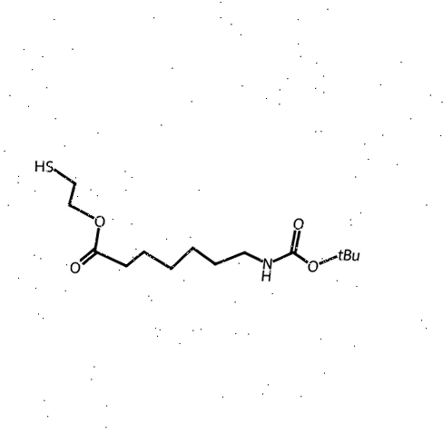 CC(C)(C)OC(=O)NCCCCCCC(=O)OCCS